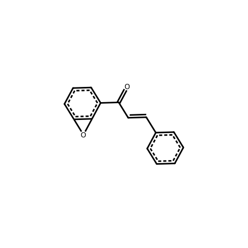 O=C(C=Cc1ccccc1)c1cccc2c1O2